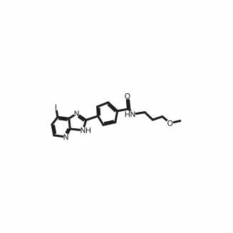 COCCCNC(=O)c1ccc(-c2nc3c(I)ccnc3[nH]2)cc1